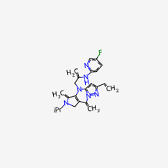 C=Cc1cc2n(n1)C(=C)C1=C(C(=C)N(C(C)C)C1)N2CC(=C)Nc1ccc(F)cn1